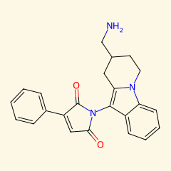 NCC1CCn2c(c(N3C(=O)C=C(c4ccccc4)C3=O)c3ccccc32)C1